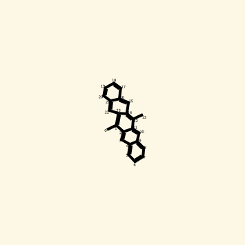 Cc1c2cc3ccccc3cc2c(C)c2cc3ccccc3cc12